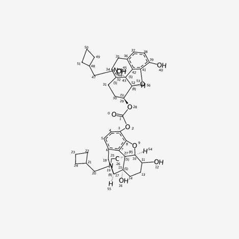 O=C(Oc1ccc2c3c1O[C@H]1C(O)CC[C@@]4(O)[C@@H](C2)N(CC2CCC2)CC[C@]314)O[C@H]1CC[C@@]2(O)C3Cc4ccc(O)c5c4[C@@]2(CCN3CC2CCC2)[C@H]1O5